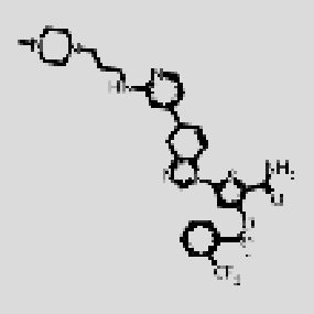 C[C@@H](Oc1cc(-n2cnc3c2C=CC(c2ccnc(NCCCN4CCN(C)CC4)c2)C3)sc1C(N)=O)c1ccccc1C(F)(F)F